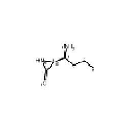 CCCC(N)[C@@H]1NC1=O